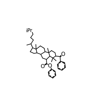 CC(C)CCCC(C)C1CCC2C3CC(C(=O)Oc4ccccc4)C4C(C)(C)C(C(=O)c5ccccc5)CCC4(C)C3CCC12C